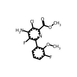 COC(=O)c1nc(-c2cccc(F)c2OC)c(F)c(N)c1Cl